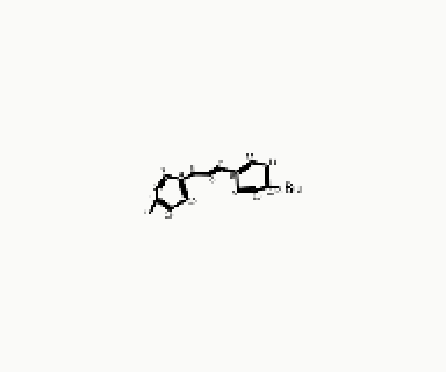 Cc1ccc(CC=Cc2ccc(C(C)(C)C)cc2)cc1